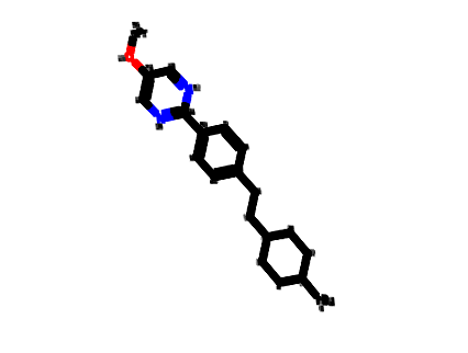 CCCCC1CCC(CCc2ccc(-c3ncc(OCCC)cn3)cc2)CC1